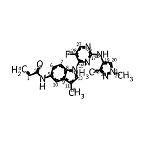 C=CC(=O)Nc1ccc2c(c1)c(C)cn2-c1nc(Nc2cn(C)nc2C)ncc1F